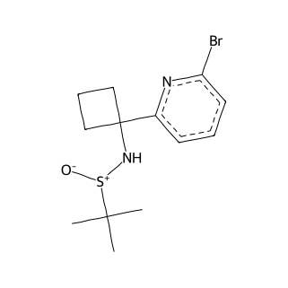 CC(C)(C)[S+]([O-])NC1(c2cccc(Br)n2)CCC1